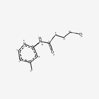 Cc1ccnc(NC(=O)CCCCl)c1